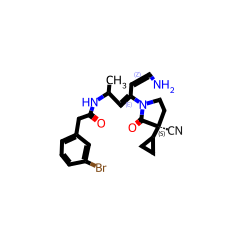 CC(/C=C(\C=C/N)N1CC[C@@](C#N)(C2CC2)C1=O)NC(=O)Cc1cccc(Br)c1